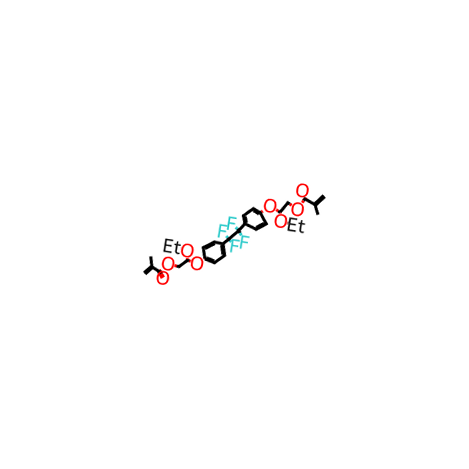 C=C(C)C(=O)OCC(OCC)Oc1ccc(C(F)(F)C(F)(F)c2ccc(OC(COC(=O)C(=C)C)OCC)cc2)cc1